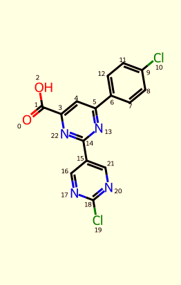 O=C(O)c1cc(-c2ccc(Cl)cc2)nc(-c2cnc(Cl)nc2)n1